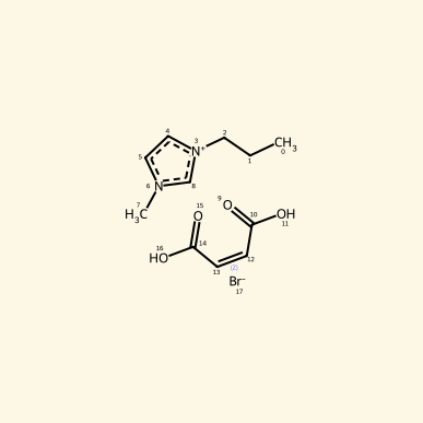 CCC[n+]1ccn(C)c1.O=C(O)/C=C\C(=O)O.[Br-]